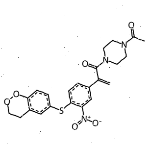 C=C(C(=O)N1CCN(C(C)=O)CC1)c1ccc(Sc2ccc3c(c2)CCOO3)c([N+](=O)[O-])c1